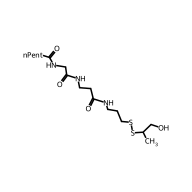 CCCCCC(=O)NCC(=O)NCCC(=O)NCCCSSC(C)CO